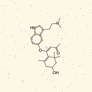 CC(=O)/C=C(/Oc1ccc2[nH]cc(CCN(C)C)c2c1)C1=C(C)CC(O)CC1(C)C